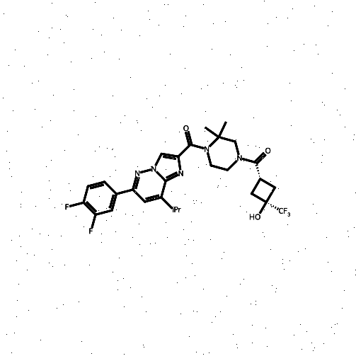 CC(C)c1cc(-c2ccc(F)c(F)c2)nn2cc(C(=O)N3CCN(C(=O)[C@H]4C[C@@](O)(C(F)(F)F)C4)CC3(C)C)nc12